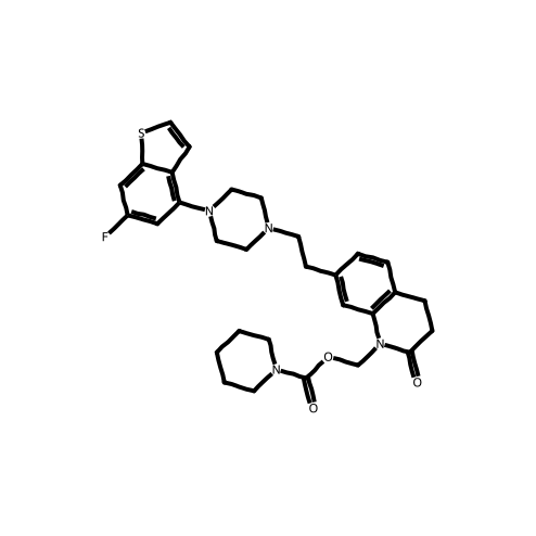 O=C(OCN1C(=O)CCc2ccc(CCN3CCN(c4cc(F)cc5sccc45)CC3)cc21)N1CCCCC1